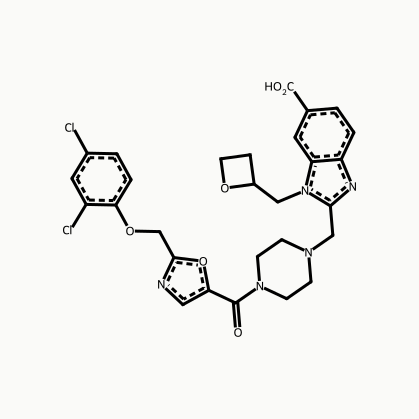 O=C(O)c1ccc2nc(CN3CCN(C(=O)c4cnc(COc5ccc(Cl)cc5Cl)o4)CC3)n(CC3CCO3)c2c1